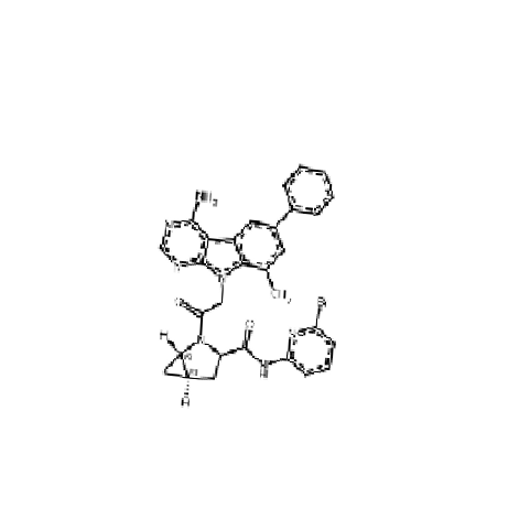 Cc1cc(-c2ccccc2)cc2c3c(N)ncnc3n(CC(=O)N3C(C(=O)Nc4cccc(Br)n4)C[C@H]4C[C@@H]43)c12